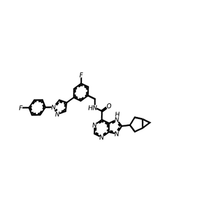 O=C(NCc1cc(F)cc(-c2cnn(-c3ccc(F)cc3)c2)c1)c1ncnc2nc(C3CC4CC4C3)[nH]c12